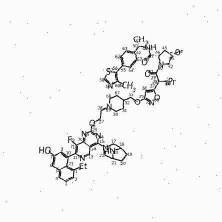 CCc1cccc2cc(O)cc(-c3ncc4c(N5CC6CCC(C5)N6)nc(OCCN5CCC(COc6cc([C@@H](C(=O)N7C[S+]([O-])C[C@H]7C(=O)N[C@@H](C)c7ccc(-c8scnc8C)cc7)C(C)C)on6)CC5)nc4c3F)c12